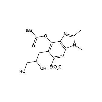 CCOC(=O)c1cc2c(nc(C)n2C)c(OC(=O)C(C)(C)C)c1CC(O)CO